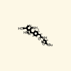 C#Cc1cnc(N)c2c(-c3ccc(CC(=O)Nc4cc(C(C)(C)C)on4)cc3)n[nH]c12